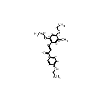 CCOc1ccc(C(=O)C=Cc2cc(C)c(OCC)cc2OCC)cc1